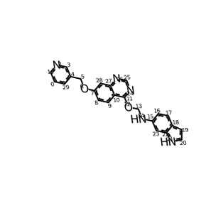 c1cncc(COc2ccc3c(OCNc4ccc5cc[nH]c5c4)ncnc3c2)c1